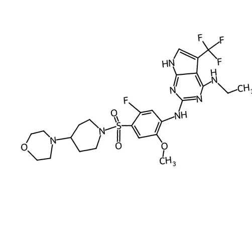 CCNc1nc(Nc2cc(F)c(S(=O)(=O)N3CCC(N4CCOCC4)CC3)cc2OC)nc2[nH]cc(C(F)(F)F)c12